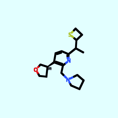 CC(c1ccc([C@H]2CCOC2)c(CN2CCCC2)n1)C1CCS1